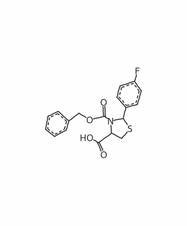 O=C(O)C1CSC(c2ccc(F)cc2)N1C(=O)OCc1ccccc1